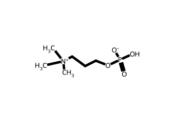 C[N+](C)(C)CCCOP(=O)([O-])O